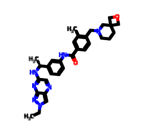 CCn1cc2ncc(N[C@@H](C)c3cccc(NC(=O)c4ccc(CN5CCCC6(COC6)C5)c(C)c4)c3)nc2n1